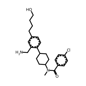 CN(C(=O)c1ccc(Cl)cc1)C1CCC(c2ccc(CCCCO)cc2CN)CC1